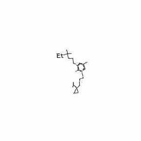 CCC(C)(C)CCCc1cc(C)cc(CCCC2(I)CC2)c1C